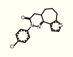 O=C1CC2CCCc3sccc3C2=NN1c1ccc(Cl)cc1